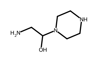 NCC(O)N1CCNCC1